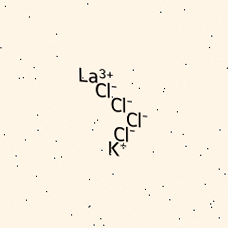 [Cl-].[Cl-].[Cl-].[Cl-].[K+].[La+3]